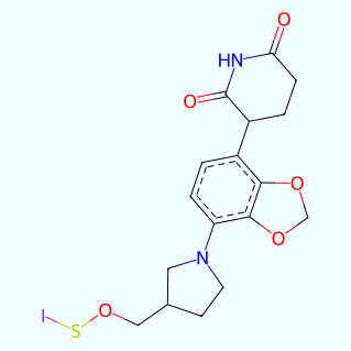 O=C1CCC(c2ccc(N3CCC(COSI)C3)c3c2OCO3)C(=O)N1